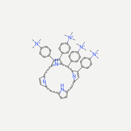 C[N+](C)(C)c1ccc(C2=Cc3cc4ccc(cc5nc(cc6[nH]c(c(-c7ccc([N+](C)(C)C)cc7)c2n3)c(-c2ccc([N+](C)(C)C)cc2)c6-c2ccc([N+](C)(C)C)cc2)C=C5)[nH]4)cc1